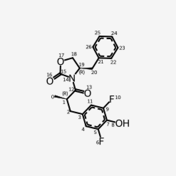 C[C@H](Cc1cc(F)c(O)c(F)c1)C(=O)N1C(=O)OC[C@H]1Cc1ccccc1